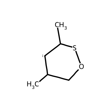 CC1[C]C(C)SOC1